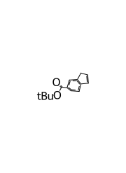 CC(C)(C)OC(=O)c1ccc2c(c1)CC=C2